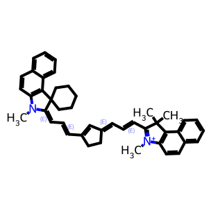 CN1/C(=C/C=C/C2=CC(=C/C=C/C3=[N+](C)c4ccc5ccccc5c4C3(C)C)/CC2)C2(CCCCC2)c2c1ccc1ccccc21